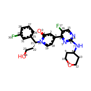 O=c1cc(-c2nc(NC3CCOCC3)ncc2F)ccn1[C@H](CCO)c1cccc(F)c1